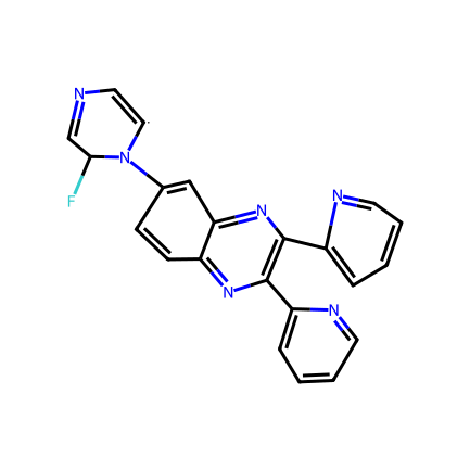 FC1C=NC=[C]N1c1ccc2nc(-c3ccccn3)c(-c3ccccn3)nc2c1